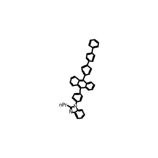 CCCc1nc2ccccc2n1-c1ccc(-c2c3ccccc3c(-c3ccc(-c4ccc(-c5ccccc5)cc4)cc3)c3ccccc23)cc1